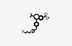 COC(=O)c1ccc2c(c1)CCC(C(C)C)C=C2c1ccc(CC2CN(CCCF)C2)cc1